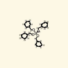 c1ccc(CO[Si](OCc2ccccc2)(OCc2ccccc2)OCc2ccccc2)cc1